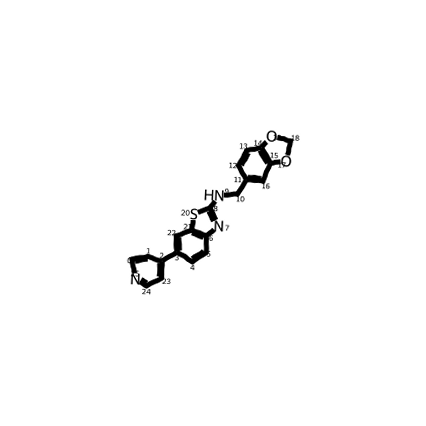 c1cc(-c2ccc3nc(NCc4ccc5c(c4)OCO5)sc3c2)ccn1